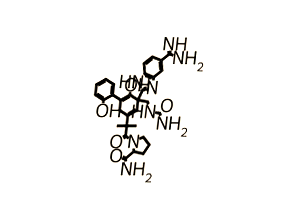 CC(C)(C(=O)N1CCCC1C(N)=O)C1=CC(CNC(N)=O)(c2nc3cc(C(=N)N)ccc3[nH]2)C(O)=C(c2ccccc2O)C1